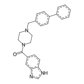 O=C(c1ccc2[nH]cnc2c1)N1CCN(Cc2ccc(-c3ccccc3)cc2)CC1